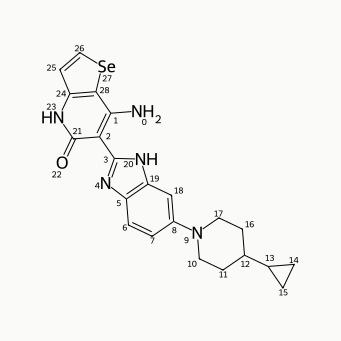 Nc1c(-c2nc3ccc(N4CCC(C5CC5)CC4)cc3[nH]2)c(=O)[nH]c2cc[se]c12